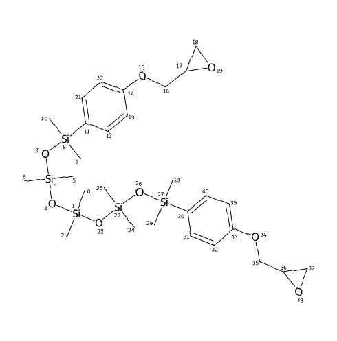 C[Si](C)(O[Si](C)(C)O[Si](C)(C)c1ccc(OCC2CO2)cc1)O[Si](C)(C)O[Si](C)(C)c1ccc(OCC2CO2)cc1